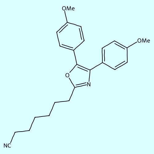 COc1ccc(-c2nc(CCCCCCC#N)oc2-c2ccc(OC)cc2)cc1